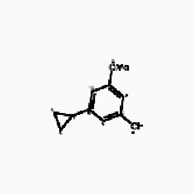 COc1cc(O)cc(C2CC2)c1